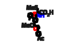 COC(c1ccc(C(=O)NC(CCSC)C(=O)O)c(-c2ccccc2C)c1)c1ccc(-c2ccc(C(C)=O)cc2)o1